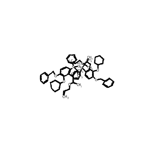 C=CCOC(C)Cc1c([Si](O[Si](c2ccccc2)(c2ccc(OCc3ccccc3)c(OC3CCCCC3)c2CC(C)OCC=C)C(C)(C)C)(c2ccccc2)C(C)(C)C)ccc(OCc2ccccc2)c1OC1CCCCC1